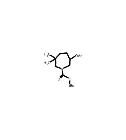 CC(=O)OC1CCC(C)(C)CN(C(=O)OC(C)(C)C)C1